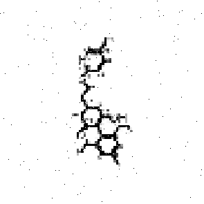 CCc1cc(C)cc(CC)c1C1=C(O)CC(CCSc2ccc(I)cn2)CC1=O